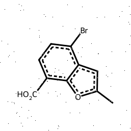 Cc1cc2c(Br)ccc(C(=O)O)c2o1